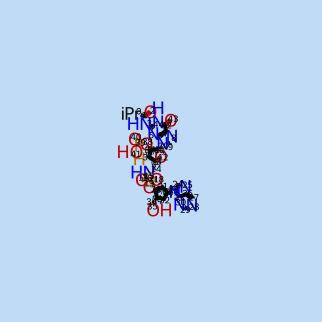 CC(C)C(=O)Nc1nc2c(ncn2[C@@H]2O[C@H](CNS(=O)(=O)O[C@H]3C[C@H](n4cnc5cncnc54)C[C@@H]3CO)C[C@H]2O[PH](=O)O)c(=O)[nH]1